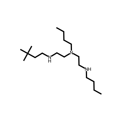 CCCCNCCN(CCCC)CCNCCC(C)(C)C